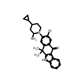 CCc1cc2c(cc1N1CCC(C3CC3)CC1N)C(C)(C)c1[nH]c3ccccc3c1C2=O